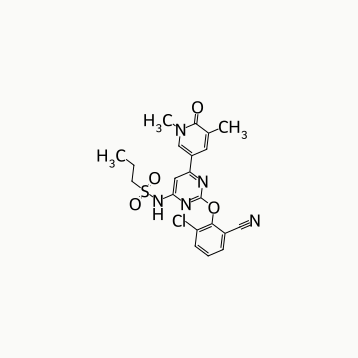 CCCS(=O)(=O)Nc1cc(-c2cc(C)c(=O)n(C)c2)nc(Oc2c(Cl)cccc2C#N)n1